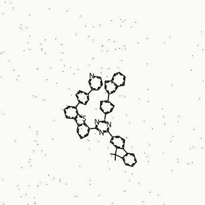 CC1(C)c2ccccc2-c2ccc(-c3nc(-c4ccc(-c5ccc6ccccc6c5)cc4)nc(-c4cccc5c4sc4c(-c6ccc(-c7cccnc7)cc6)cccc45)n3)cc21